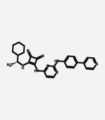 C[C@@H](Nc1c(Nc2ccnc(Nc3ccc(-c4ccncc4)cc3)n2)c(=O)c1=O)C1CCCCC1